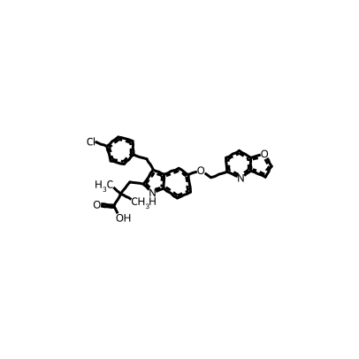 CC(C)(Cc1[nH]c2ccc(OCc3ccc4occc4n3)cc2c1Cc1ccc(Cl)cc1)C(=O)O